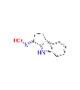 ON=C1CCc2c1[nH]c1ccccc21